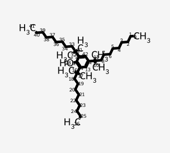 CCCCCCCCCC(C)(C)c1cc(C(C)(C)CCCCCCCCC)c(O)c(C(C)(C)CCCCCCCCC)c1